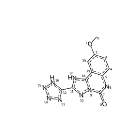 COc1ccc2nc(=O)n3nc(-c4nnn[nH]4)[nH]c3c2c1